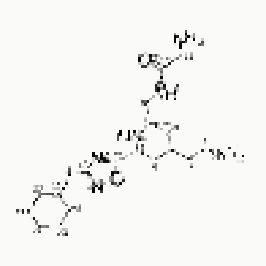 NCCCCC(NC(=O)CNC(=O)CN)c1nc(CC2CCCCC2)no1